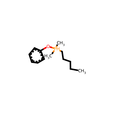 CCCCC[PH](C)(C)Oc1ccccc1